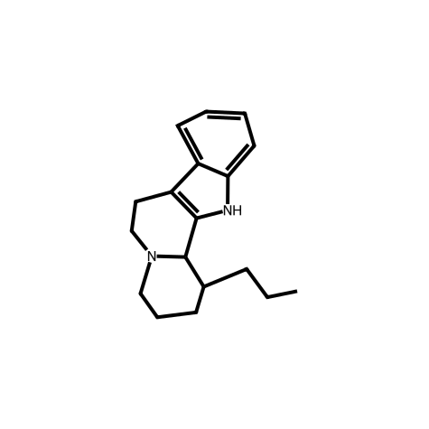 CCCC1CCCN2CCc3c([nH]c4ccccc34)C12